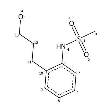 CS(=O)(=O)Nc1ccccc1CCC[O]